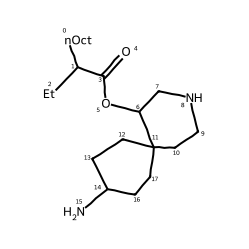 CCCCCCCCC(CC)C(=O)OC1CNCCC12CCC(N)CC2